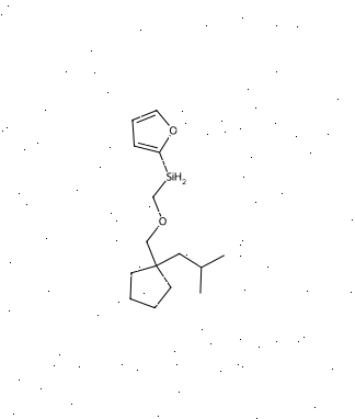 CC(C)CC1(COC[SiH2]c2ccco2)CCCC1